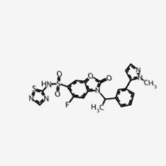 CC(c1cccc(-c2ccnn2C)c1)n1c(=O)oc2cc(S(=O)(=O)Nc3ncns3)c(F)cc21